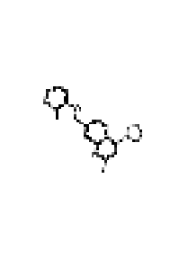 Cc1cc(N2CCCC2)c2ccc(COc3ccccc3C)cc2n1